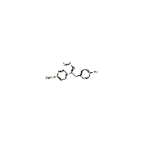 CON=C(Cc1ccc(Br)cc1)c1ccc(OC)cc1